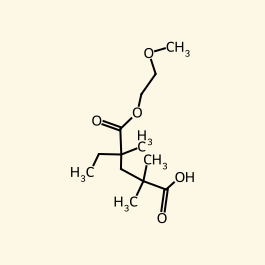 CCC(C)(CC(C)(C)C(=O)O)C(=O)OCCOC